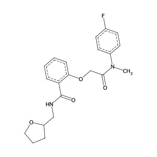 CN(C(=O)COc1ccccc1C(=O)NCC1CCCO1)c1ccc(F)cc1